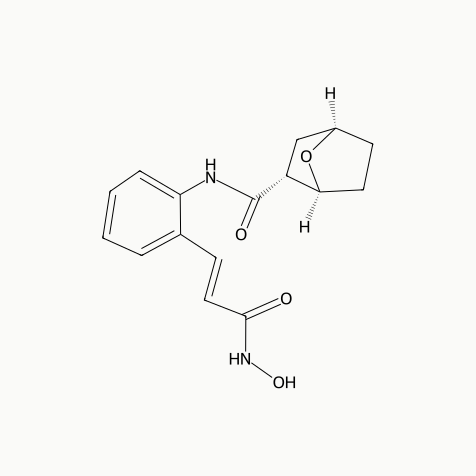 O=C(C=Cc1ccccc1NC(=O)[C@@H]1C[C@H]2CC[C@@H]1O2)NO